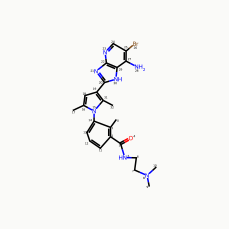 Cc1c(C(=O)NCCN(C)C)cccc1-n1c(C)cc(-c2nc3ncc(Br)c(N)c3[nH]2)c1C